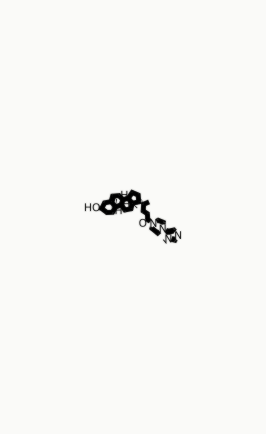 CC(CCC(=O)N1CCN(c2cncn2C)CC1)[C@H]1CC[C@H]2[C@@H]3CC=C4C[C@@H](O)CC[C@]4(C)[C@H]3CC[C@]12C